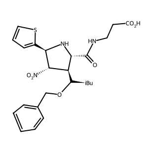 CC[C@H](C)C(OCc1ccccc1)[C@H]1[C@H]([N+](=O)[O-])[C@@H](c2cccs2)N[C@@H]1C(=O)NCCC(=O)O